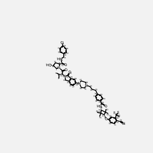 CC(C)[C@@H](C(=O)N1C[C@H](O)C[C@H]1C(=O)NCc1ccc(Cl)cc1)N1Cc2ccc(N3CCN(CCCc4ccc(C(=O)N[C@H]5C(C)(C)[C@H](Oc6ccc(C#N)c(C(F)(F)F)c6)C5(C)C)cc4)CC3)cc2C1=O